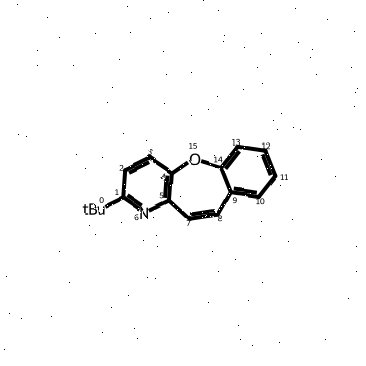 CC(C)(C)c1ccc2c(n1)C=Cc1ccccc1O2